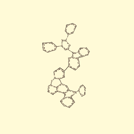 c1ccc(-c2nc(-c3ccccc3)nc(-n3c4ccccc4c4ccc(-c5ccc6c(c5)-c5cc7c(c8cccc(c58)S6)c5ccccc5n7-c5ccccc5)cc43)n2)cc1